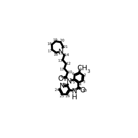 Cc1ccc2c(c1)N(C(=O)CCCCCN1CCCCCC1)c1ncccc1NC2=O